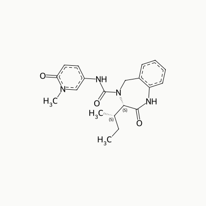 CC[C@H](C)[C@H]1C(=O)Nc2ccccc2CN1C(=O)Nc1ccc(=O)n(C)c1